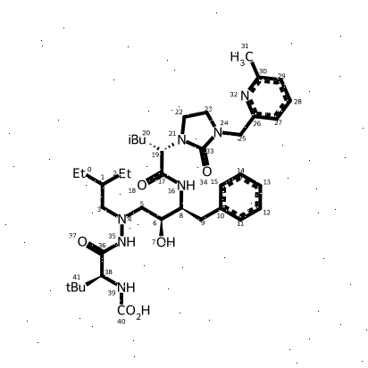 CCC(CC)CN(C[C@H](O)[C@H](Cc1ccccc1)NC(=O)[C@H]([C@@H](C)CC)N1CCN(Cc2cccc(C)n2)C1=O)NC(=O)[C@@H](NC(=O)O)C(C)(C)C